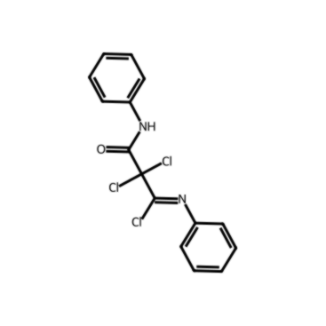 O=C(Nc1ccccc1)C(Cl)(Cl)C(Cl)=Nc1ccccc1